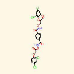 O=CC(CONC(=O)c1ccc(C(=O)NOC(=O)COc2ccc(Cl)cc2Cl)cc1)Oc1ccc(Cl)cc1Cl